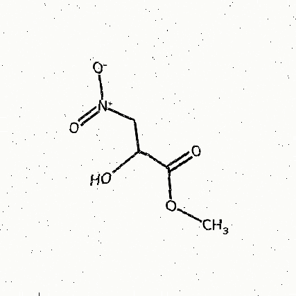 COC(=O)C(O)C[N+](=O)[O-]